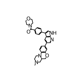 CN1CCN2c3ccc(-c4cnc5[nH]cc(-c6ccc(C(=O)N7CCOCC7)cc6)c5c4)cc3OCC2C1